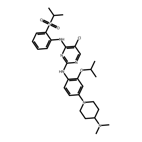 CC(C)Oc1cc(N2CCC(N(C)C)CC2)ccc1Nc1ncc(Cl)c(Nc2ccccc2S(=O)(=O)C(C)C)n1